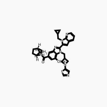 COc1cc(C(=O)N2C[C@H]3CC[C@@H]2[C@@H]3N)cc2nc(-c3cc4cccnc4n3CC3CC3)n(CC3CN(c4cncs4)C3)c12